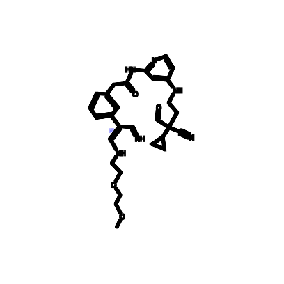 COCCOCCN/C=C(\C=N)c1cccc(CC(=O)Nc2cc(NCCC(C#N)(C=O)C3CC3)ccn2)c1